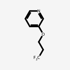 FC(F)(F)CCOc1cccnc1